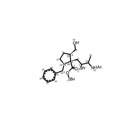 CCCC(C[C@]1(C(=O)OC(C)(C)C)[C@H](CO)CCN1Cc1ccccc1)C(C)NC(C)=O